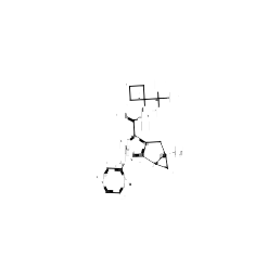 O=C(NC1(C(F)(F)F)CCC1)c1nn(-c2cnccn2)c2c1C[C@@H]1CC21